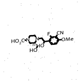 COc1ccc(C(O)CN2CCN(C(=O)O)C[C@H]2CO)c(F)c1C#N